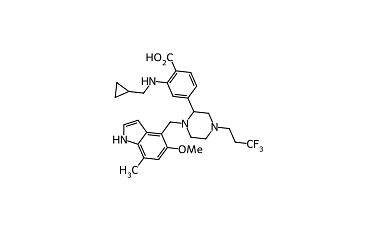 COc1cc(C)c2[nH]ccc2c1CN1CCN(CCC(F)(F)F)CC1c1ccc(C(=O)O)c(NCC2CC2)c1